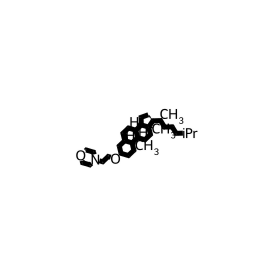 CC(C)CCC[C@@H](C)[C@H]1CC[C@H]2[C@@H]3CC=C4C[C@@H](OCCN5CCOCC5)CC[C@]4(C)[C@H]3CC[C@]12C